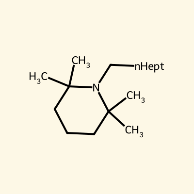 CCCCCCCCN1C(C)(C)CCCC1(C)C